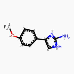 Nc1nc(-c2ccc(OC(F)(F)F)cc2)c[nH]1